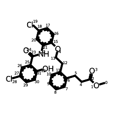 COC(=O)CCc1ccccc1CCOc1ccc(Cl)cc1NC(=O)c1cc(Cl)ccc1O